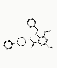 CCOc1nc(SC)nc(C(=O)N[C@H]2CC[C@@H](c3ccccc3)CC2)c1OCc1ccccc1